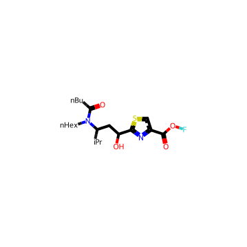 CCCCCCN(C(=O)CCCC)C(CC(O)c1nc(C(=O)OF)cs1)C(C)C